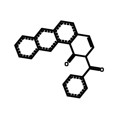 O=C(c1ccccc1)C1C=Cc2ccc3cc4ccccc4cc3c2C1=O